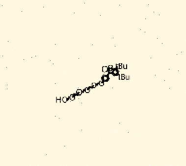 CC(C)(C)c1cc2c(c(C(C)(C)C)c1)OC(=O)C2c1ccc(OCCOCCOCCOCCOCCO)cc1